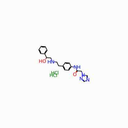 Cl.Cl.O=C(Cn1cncn1)Nc1ccc(CCNCC(O)c2ccccc2)cc1